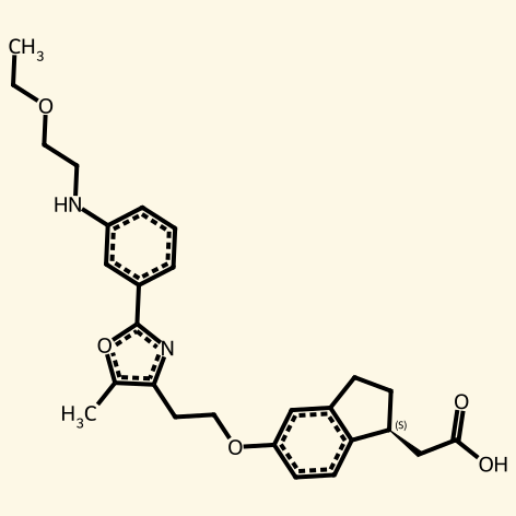 CCOCCNc1cccc(-c2nc(CCOc3ccc4c(c3)CC[C@H]4CC(=O)O)c(C)o2)c1